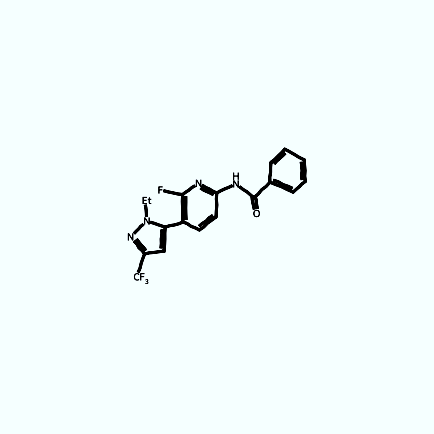 CCn1nc(C(F)(F)F)cc1-c1ccc(NC(=O)c2ccccc2)nc1F